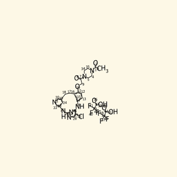 CC(=O)N1CCN(C(=O)COc2ccc3cc2CCc2cncc(c2)Nc2ncc(Cl)c(n2)N3)CC1.O=C(O)C(F)(F)F.O=C(O)C(F)(F)F